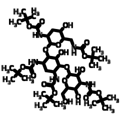 CC(C)(C)OC(=O)NCC1OC(OC2C(NC(=O)OC(C)(C)C)CC(NC(=O)OC(C)(C)C)C(OC3OC(CO)C(O)C(NC(=O)OC(C)(C)C)C3O)C2O)C(NC(=O)OC(C)(C)C)CC1O